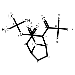 CC(C)(C)OC(=O)N1C2CCC1C(C(=O)C(F)(F)F)C(=O)C2